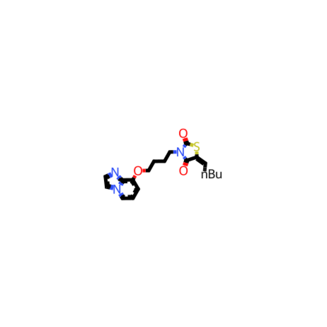 CCCCC=C1SC(=O)N(CCCCOc2cccn3ccnc23)C1=O